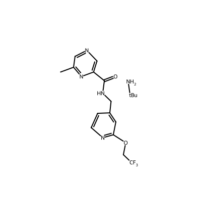 CC(C)(C)N.Cc1cncc(C(=O)NCc2ccnc(OCC(F)(F)F)c2)n1